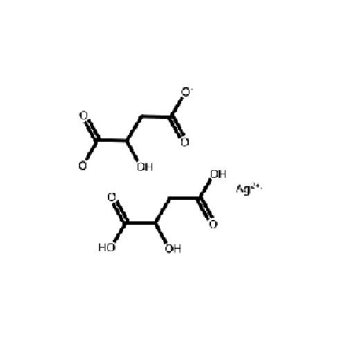 O=C(O)CC(O)C(=O)O.O=C([O-])CC(O)C(=O)[O-].[Ag+2]